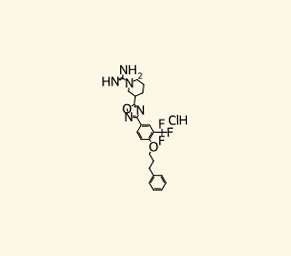 Cl.N=C(N)N1CCCC(c2nc(-c3ccc(OCCCc4ccccc4)c(C(F)(F)F)c3)no2)C1